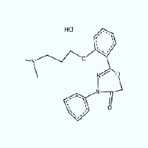 CN(C)CCCOc1ccccc1C1=NN(c2ccccc2)C(=O)CO1.Cl